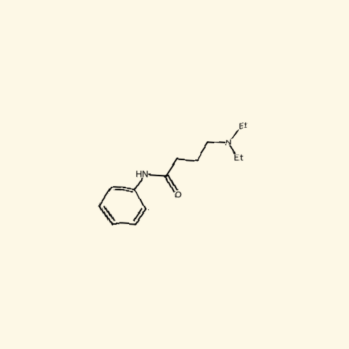 CCN(CC)CCCC(=O)Nc1[c]cccc1